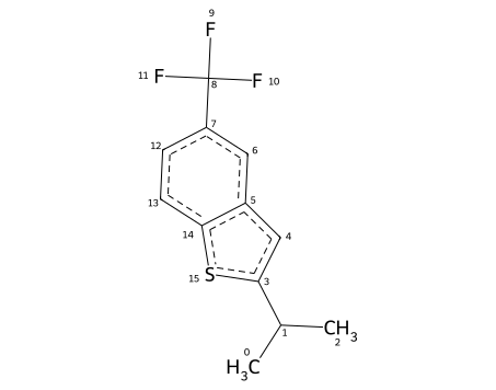 CC(C)c1cc2cc(C(F)(F)F)ccc2s1